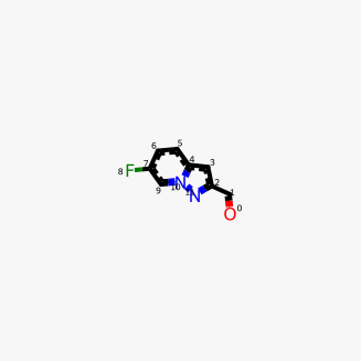 O=Cc1cc2ccc(F)cn2n1